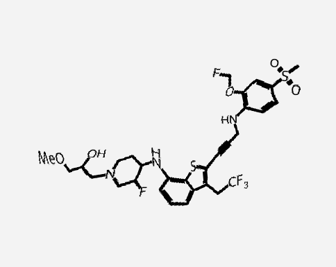 COCC(O)CN1CCC(Nc2cccc3c(CC(F)(F)F)c(C#CCNc4ccc(S(C)(=O)=O)cc4OCF)sc23)C(F)C1